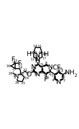 Nc1cncc(-c2ncc3c(N4C[C@H]5CC[C@@H](C4)N5)nc(OC[C@@]45CCCN4C[C@@]4(CC4(F)F)C5)nc3c2F)c1C(F)(F)F